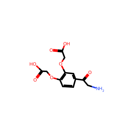 NCC(=O)c1ccc(OCC(=O)O)c(OCC(=O)O)c1